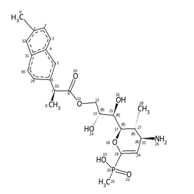 Cc1ccc2cc([C@H](C)C(=O)OC[C@@H](O)[C@@H](O)[C@@H]3OC(P(C)(=O)O)=C[C@H](N)[C@H]3C)ccc2c1